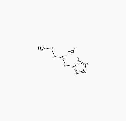 Cl.NCCSCc1cccs1